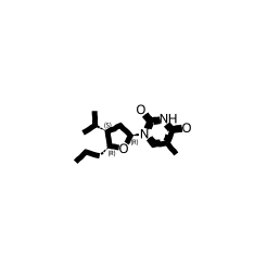 CCC[C@H]1O[C@@H](n2cc(C)c(=O)[nH]c2=O)C[C@H]1C(C)C